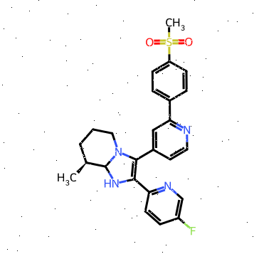 C[C@H]1CCCN2C(c3ccnc(-c4ccc(S(C)(=O)=O)cc4)c3)=C(c3ccc(F)cn3)NC12